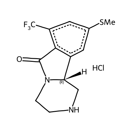 CSc1cc2c(c(C(F)(F)F)c1)C(=O)N1CCNC[C@@H]21.Cl